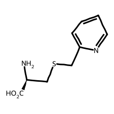 N[C@@H](CSCc1ccccn1)C(=O)O